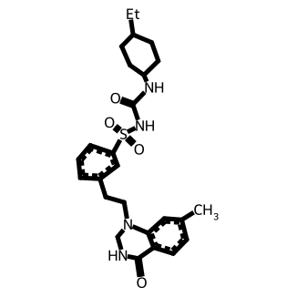 CCC1CCC(NC(=O)NS(=O)(=O)c2cccc(CCN3CNC(=O)c4ccc(C)cc43)c2)CC1